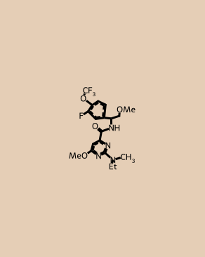 CCN(C)c1nc(OC)cc(C(=O)NC(COC)c2ccc(OC(F)(F)F)c(F)c2)n1